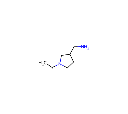 C[CH]N1CCC(CN)C1